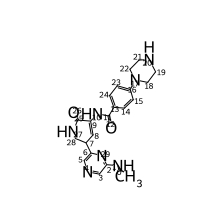 CNc1cncc(C2C=C(NC(=O)c3ccc(N4CCNCC4)cc3)C(=O)NC2)n1